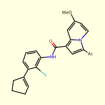 COc1ccn2c(C(C)=O)cc(C(=O)Nc3cccc(C4=CCCC4)c3F)c2c1